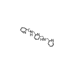 c1ccc(CNCc2cccc(CNCc3ccccn3)n2)nc1